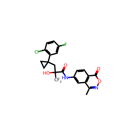 Cc1noc(=O)c2ccc(NC(=O)C(O)(CC3(c4cc(F)ccc4Cl)CC3)C(F)(F)F)cc12